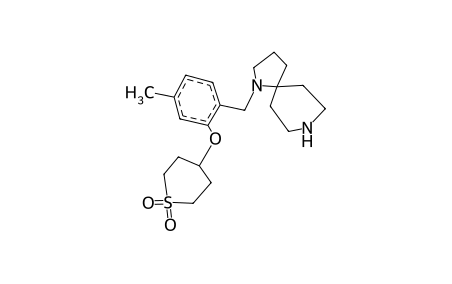 Cc1ccc(CN2CCCC23CCNCC3)c(OC2CCS(=O)(=O)CC2)c1